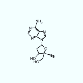 C#C[C@]1(CO)O[C@@H](n2cnc3c(N)ncnc32)CC1O